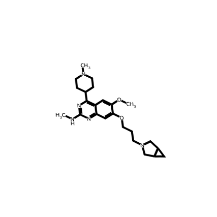 CNc1nc(C2CCN(C)CC2)c2cc(OC)c(OCCCN3CC4CC4C3)cc2n1